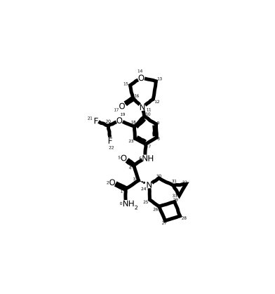 NC(=O)[C@H](C(=O)Nc1ccc(N2CCOCC2=O)c(OC(F)F)c1)N(CC1CCC1)CC1CC1